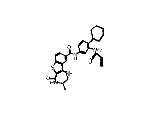 C=CC(=O)Nc1cc(NC(=O)c2ccc3sc4c(c3c2)NC[C@@H](C)NC4=O)ccc1C1CCCCC1